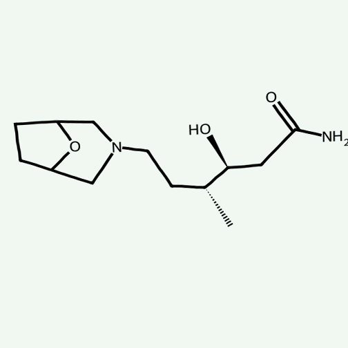 C[C@H](CCN1CC2CCC(C1)O2)[C@@H](O)CC(N)=O